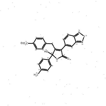 CCOC(=O)c1ccc(CC2=C(c3ccc4nsnc4c3)C(=O)OC2(O)c2ccc(C)cc2)cc1